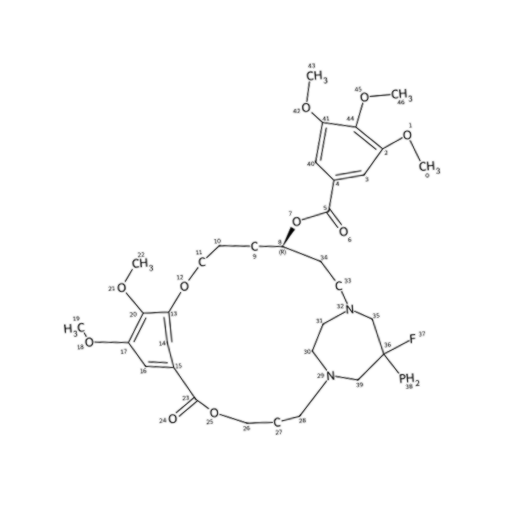 COc1cc(C(=O)O[C@@H]2CCCOc3cc(cc(OC)c3OC)C(=O)OCCCN3CCN(CC2)CC(F)(P)C3)cc(OC)c1OC